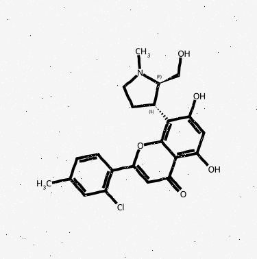 Cc1ccc(-c2cc(=O)c3c(O)cc(O)c([C@@H]4CCN(C)[C@H]4CO)c3o2)c(Cl)c1